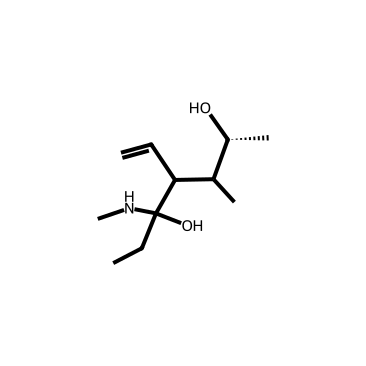 C=CC(C(C)[C@@H](C)O)C(O)(CC)NC